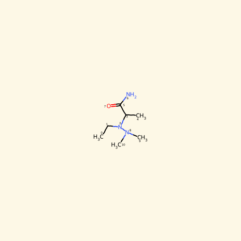 CCN(C(C)C(N)=O)N(C)C